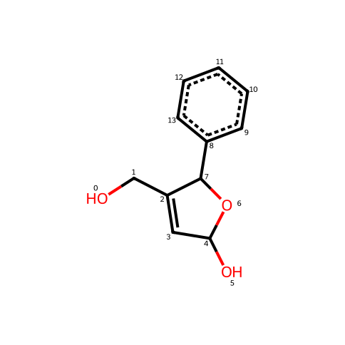 OCC1=CC(O)OC1c1ccccc1